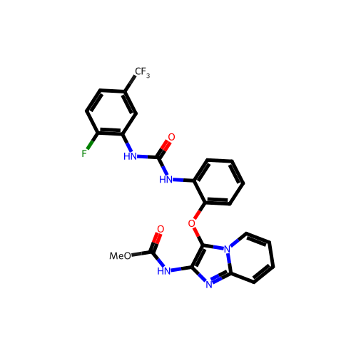 COC(=O)Nc1nc2ccccn2c1Oc1ccccc1NC(=O)Nc1cc(C(F)(F)F)ccc1F